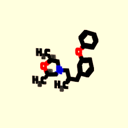 CC(Cc1cccc(Oc2ccccc2)c1)CN1C[C@@H](C)O[C@@H](C)C1